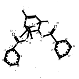 CC1=CC2(C)CC(C)(C)C1C(OC(=O)c1ccccc1)C2OC(=O)c1ccccc1